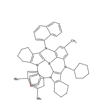 Cc1cc2c3c(c1)N(C1CCCCC1)c1c4c(n(C5=C=C=C(C(C)(C)C)C=C5)c1B3c1c(c3c(n1C1=CC=C(C(C)(C)C)CC1)CCCC3)N2c1cccc2ccccc12)CCCC4